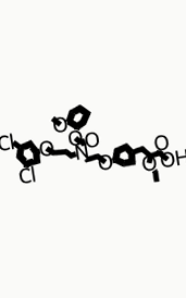 CCOC(Cc1ccc(OCCN(CCCOc2cc(Cl)cc(Cl)c2)C(=O)Oc2ccccc2OC)cc1)C(=O)O